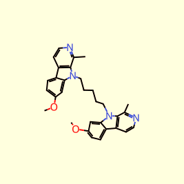 COc1ccc2c3ccnc(C)c3n(CCCCCn3c4cc(OC)ccc4c4ccnc(C)c43)c2c1